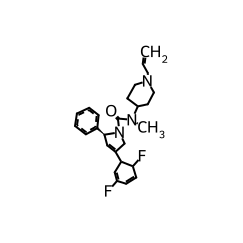 C=CCN1CCC(N(C)C(=O)N2CC(C3C=C(F)C=CC3F)=C[C@H]2c2ccccc2)CC1